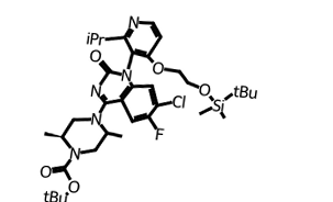 CC(C)c1nccc(OCCO[Si](C)(C)C(C)(C)C)c1-n1c(=O)nc(N2C[C@H](C)N(C(=O)OC(C)(C)C)CC2C)c2cc(F)c(Cl)cc21